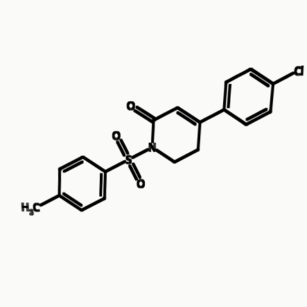 Cc1ccc(S(=O)(=O)N2CCC(c3ccc(Cl)cc3)=CC2=O)cc1